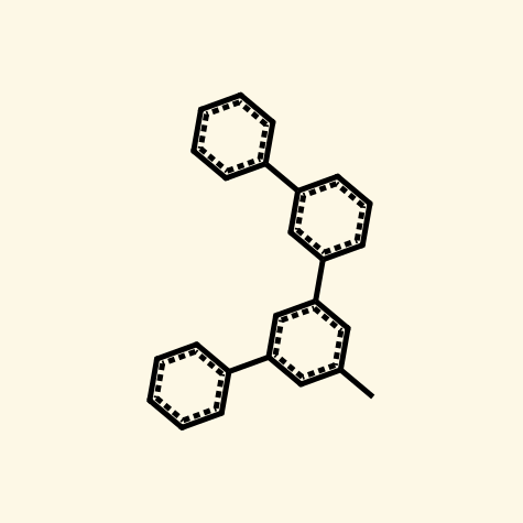 Cc1cc(-c2ccccc2)cc(-c2cccc(-c3ccccc3)c2)c1